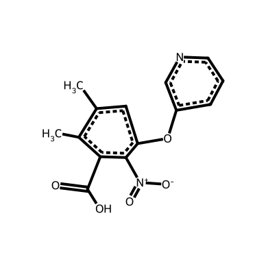 Cc1cc(Oc2cccnc2)c([N+](=O)[O-])c(C(=O)O)c1C